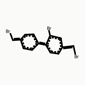 BrC=c1ccc(=c2ccc(=CBr)cc2Br)cc1